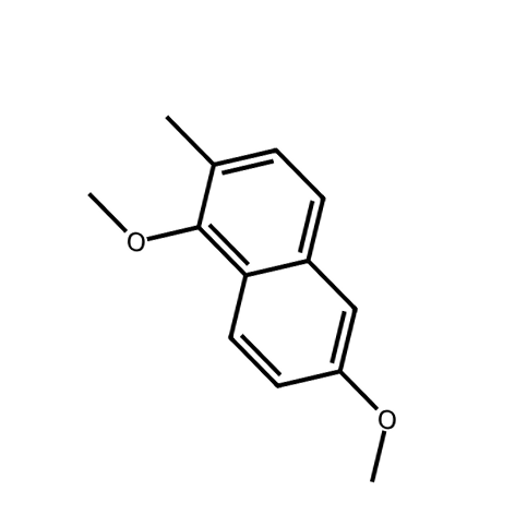 COc1ccc2c(OC)c(C)ccc2c1